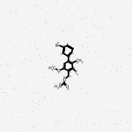 COc1cc(-c2cccc(Br)c2)c(C)c(F)c1COC(N)=O